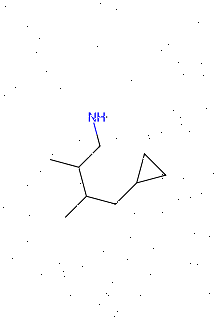 CC(C[NH])C(C)CC1CC1